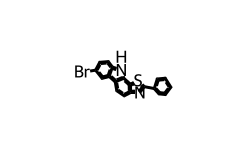 Brc1ccc2[nH]c3c(ccc4nc(-c5ccccc5)sc43)c2c1